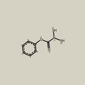 O=C(Oc1ccccc1)N(S)S